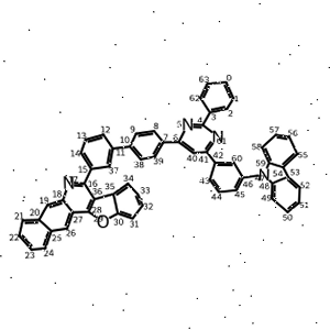 c1ccc(-c2nc(-c3ccc(-c4cccc(-c5nc6cc7ccccc7cc6c6oc7ccccc7c56)c4)cc3)cc(-c3cccc(-n4c5ccccc5c5ccccc54)c3)n2)cc1